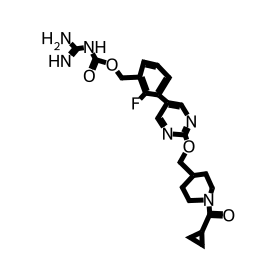 N=C(N)NC(=O)OCc1cccc(-c2cnc(OCC3CCN(C(=O)C4CC4)CC3)nc2)c1F